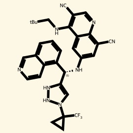 CC(C)(C)CNc1c(C#N)cnc2c(C#N)cc(N[C@H](C3=CN(C4(C(F)(F)F)CC4)NN3)c3cccc4cnccc34)cc12